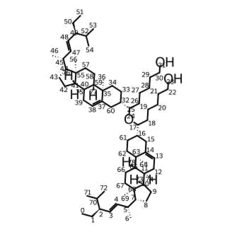 CC[C@H](/C=C/[C@@H](C)[C@H]1CC[C@H]2[C@@H]3CC=C4C[C@@H](C(CCCCCO)OC(CCCCCO)[C@H]5CC[C@@]6(C)C(=CC[C@H]7[C@@H]8CC[C@H]([C@H](C)/C=C/[C@@H](CC)C(C)C)[C@@]8(C)CC[C@@H]76)C5)CC[C@]4(C)[C@H]3CC[C@]12C)C(C)C